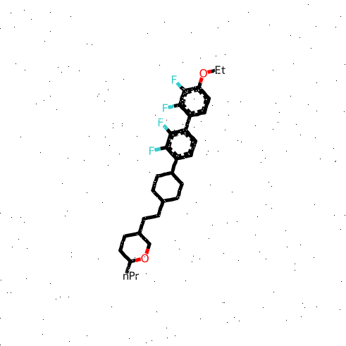 CCCC1CCC(CCC2CCC(c3ccc(-c4ccc(OCC)c(F)c4F)c(F)c3F)CC2)CO1